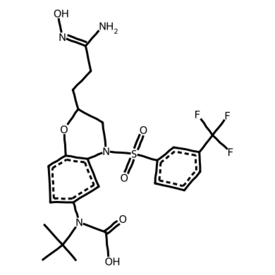 CC(C)(C)N(C(=O)O)c1ccc2c(c1)N(S(=O)(=O)c1cccc(C(F)(F)F)c1)CC(CCC(N)=NO)O2